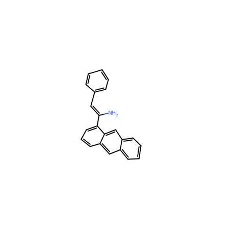 NC(=Cc1ccccc1)c1cccc2cc3ccccc3cc12